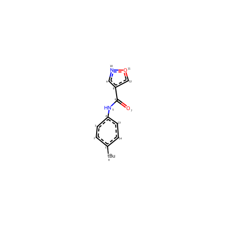 CC(C)(C)c1ccc(NC(=O)c2cnoc2)cc1